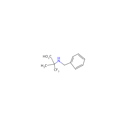 CC(NCc1ccccc1)(C(=O)O)C(F)(F)F